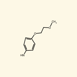 COCCOc1ccc([NH])cc1